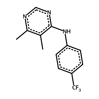 Cc1ncnc(Nc2ccc(C(F)(F)F)cc2)c1C